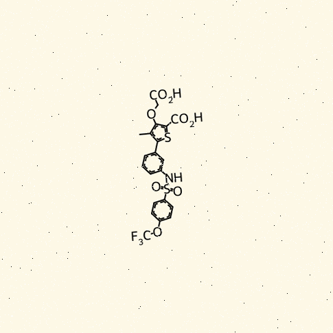 Cc1c(-c2cccc(NS(=O)(=O)c3ccc(OC(F)(F)F)cc3)c2)sc(C(=O)O)c1OCC(=O)O